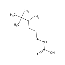 CC(C)(C)C(N)CCONC(=O)O